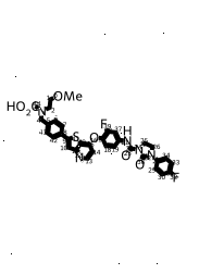 COCCN(Cc1ccc(-c2cc3nccc(Oc4ccc(NC(=O)N5CCN(c6ccc(F)cc6)C5=O)cc4F)c3s2)cc1)C(=O)O